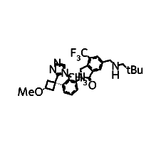 CO[C@H]1C[C@](c2cccc(N3Cc4c(cc(CNCC(C)(C)C)cc4C(F)(F)F)C3=O)c2)(c2nncn2C)C1